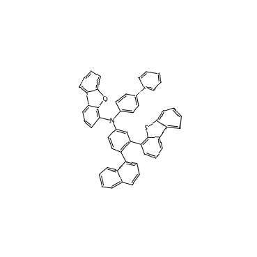 c1ccc(-c2ccc(N(c3ccc(-c4cccc5ccccc45)c(-c4cccc5c4sc4ccccc45)c3)c3cccc4c3oc3ccccc34)cc2)cc1